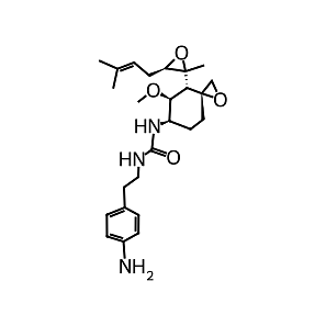 CO[C@H]1[C@H](C2(C)O[C@@H]2CC=C(C)C)[C@]2(CC[C@H]1NC(=O)NCCc1ccc(N)cc1)CO2